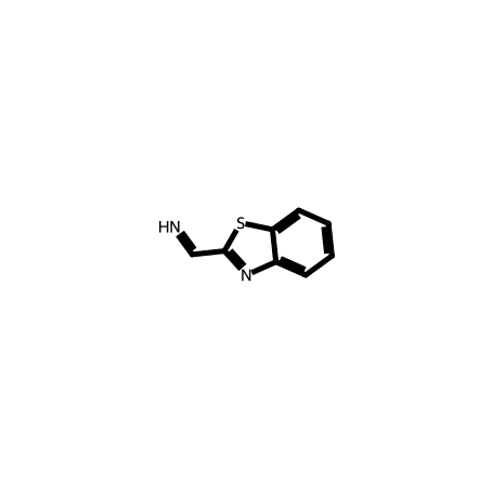 N=Cc1nc2ccccc2s1